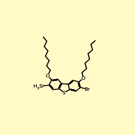 CCCCCCCCOc1cc2c(cc1[SiH3])sc1cc(Br)c(OCCCCCCCC)cc12